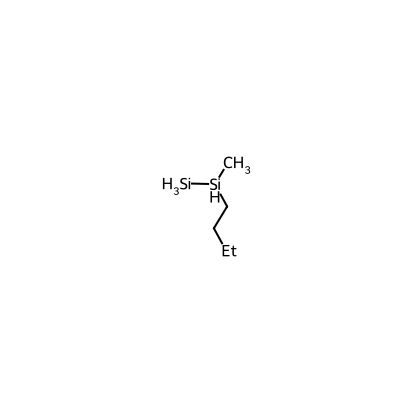 CCCC[SiH](C)[SiH3]